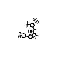 Cc1cc(N[C@H](C)c2cc([N+](=O)[O-])cc(C(F)(F)F)c2)c2cc(C3=CCS(=O)(=O)CC3)ccc2n1